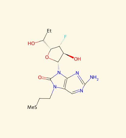 CCC(O)[C@H]1O[C@@H](n2c(=O)n(CCSC)c3cnc(N)nc32)[C@H](O)[C@H]1F